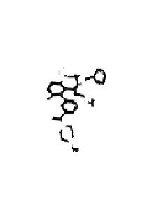 CNN1c2ccc(Cl)c(-c3cccc(C(=O)N4CCN(C(C)=O)CC4)c3)c2C(C(=O)CNC(N)=O)=C(OCc2ccccc2)C1(C)Cl